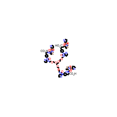 CC1(C)SCN(S(=O)(=O)c2cccnc2)[C@@H]1C(=O)C[C@@H](Cc1ccc(-n2c(=O)n(CCOCCOCC(COCCOCCn3c(=O)n(-c4ccc(C[C@H](NC(=O)[C@H]5N(S(=O)(=O)c6cccnc6)CSC5(C)C)C(=O)O)cc4)c4ncccc43)OCCOCCn3c(=O)n(-c4ccc(C[C@H](NC(=O)[C@H]5N(S(=O)(=O)c6cccnc6)CSC5(C)C)C(=O)O)cc4)c4ncccc43)c3cccnc32)cc1)C(=O)O